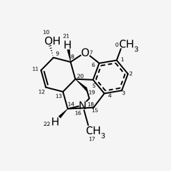 Cc1ccc2c3c1O[C@H]1[C@@H](O)C=CC4[C@@H](C2)N(C)CC[C@@]341